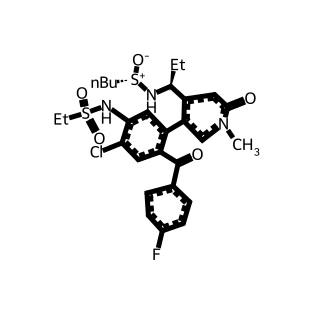 CCCC[S@+]([O-])N[C@@H](CC)c1cc(=O)n(C)cc1-c1cc(NS(=O)(=O)CC)c(Cl)cc1C(=O)c1ccc(F)cc1